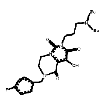 CCC(C)N(CCCn1c(=O)c(O)c2n(c1=O)CCN(Cc1ccc(F)cc1)C2=O)C(C)CC